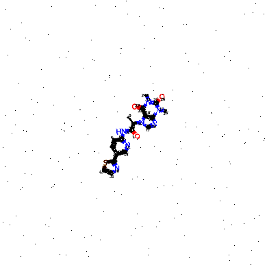 C[C@H](C(=O)Nc1ccc(-c2nccs2)cn1)n1cnc2c1c(=O)n(C)c(=O)n2C